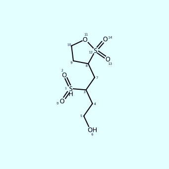 O=[SH](=O)C(CCO)CC1CCOS1(=O)=O